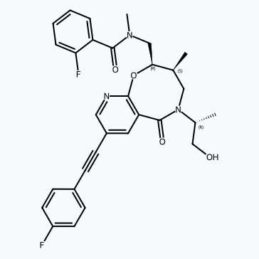 C[C@H](CO)N1C[C@H](C)[C@H](CN(C)C(=O)c2ccccc2F)Oc2ncc(C#Cc3ccc(F)cc3)cc2C1=O